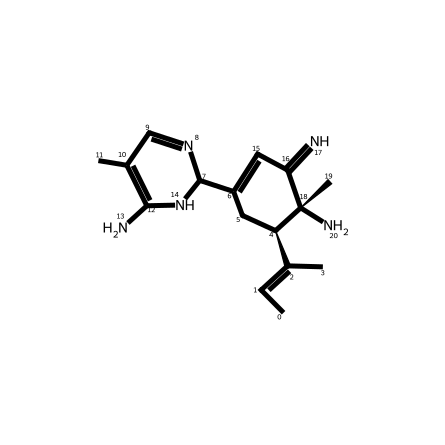 C/C=C(\C)[C@H]1CC(C2N=CC(C)=C(N)N2)=CC(=N)[C@]1(C)N